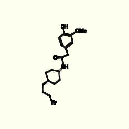 COc1cc(CC(=O)N[C@H]2CC[C@H](/C=C\CC(C)C)CC2)ccc1O